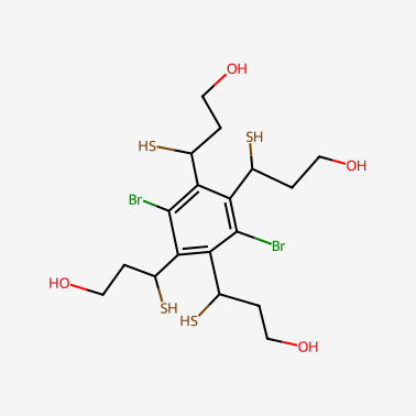 OCCC(S)c1c(Br)c(C(S)CCO)c(C(S)CCO)c(Br)c1C(S)CCO